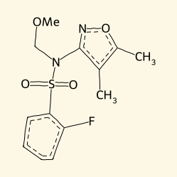 COCN(c1noc(C)c1C)S(=O)(=O)c1ccccc1F